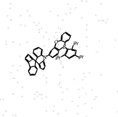 CC(C)c1cc(C(C)C)c(B2c3ccccc3Oc3cc(N4c5ccccc5C5(c6ccccc6-c6ccccc65)c5ccccc54)ccc32)c(C(C)C)c1